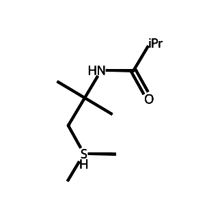 CC(C)C(=O)NC(C)(C)C[SH](C)C